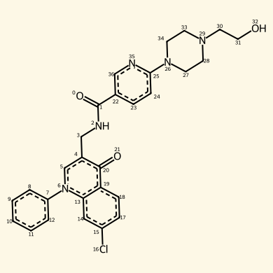 O=C(NCc1cn(-c2ccccc2)c2cc(Cl)ccc2c1=O)c1ccc(N2CCN(CCO)CC2)nc1